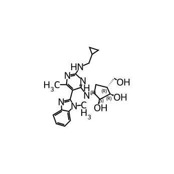 Cc1nc(NCC2CC2)nc(N[C@@H]2C[C@H](CO)[C@@H](O)[C@H]2O)c1-c1nc2ccccc2n1C